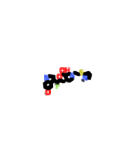 COc1ccc2nccc([C@@H](F)CC[C@@H]3CCN(CCSc4cccn4C)C[C@@H]3C(=O)O)c2c1